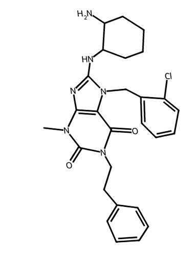 Cn1c(=O)n(CCc2ccccc2)c(=O)c2c1nc(NC1CCCCC1N)n2Cc1ccccc1Cl